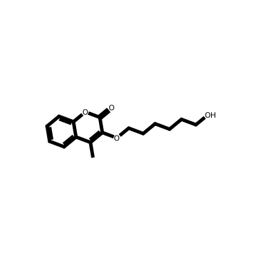 Cc1c(OCCCCCCO)c(=O)oc2ccccc12